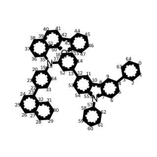 c1ccc(-c2ccc3c(c2)c2cc(-c4cccc(N(c5ccc(-c6cccc7ccccc67)cc5)c5cccc6ccc7c8ccccc8oc7c56)c4)ccc2n3-c2ccccc2)cc1